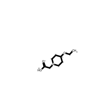 CCOC1CCN(CC(=O)O)CC1